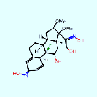 CO[C@@H]1C[C@H]2[C@@H]3CCC4=CC(=NO)C=C[C@]4(C)[C@@]3(F)[C@@H](O)C[C@]2(C)[C@@]1(OC)/C(CO)=N/O